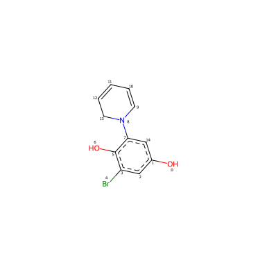 Oc1cc(Br)c(O)c(N2C=CC=CC2)c1